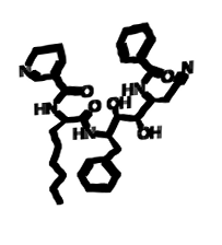 CCCCCC[C@@H](NC(=O)c1cccnc1)C(=O)N[C@H](Cc1ccccc1)[C@@H](O)[C@H](O)[C@H](CC#N)NC(=O)c1ccccc1